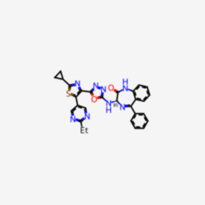 CCc1ncc(-c2sc(C3CC3)nc2-c2nnc(N[C@@H]3N=C(c4ccccc4)c4ccccc4NC3=O)o2)cn1